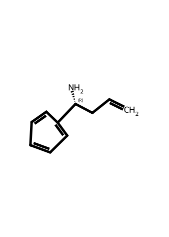 C=CC[C@@H](N)c1ccccc1